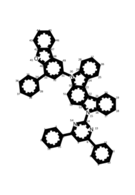 c1ccc(-c2cc(-c3ccccc3)nc(-n3c4ccccc4c4c5c6ccccc6n(-c6cc(-c7ccccc7)c7oc8ccccc8c7c6)c5ccc43)n2)cc1